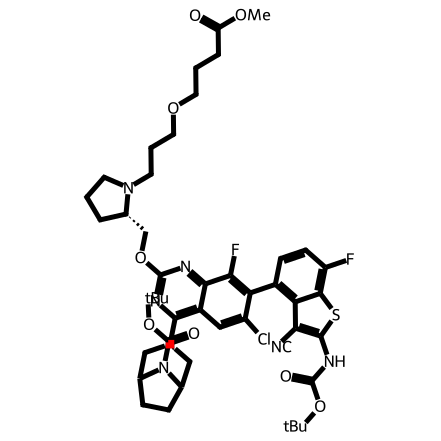 COC(=O)CCCOCCCN1CCC[C@H]1COc1nc(N2CC3CCC(C2)N3C(=O)OC(C)(C)C)c2cc(Cl)c(-c3ccc(F)c4sc(NC(=O)OC(C)(C)C)c(C#N)c34)c(F)c2n1